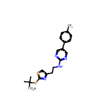 CC(C)(Sc1nc(CCNc2ncc(-c3ccc(C(F)(F)F)cc3)cn2)cs1)C(=O)O